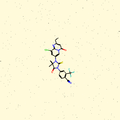 CCc1cc(=O)n2cc(N3C(=S)N(c4ccc(C#N)c(C(F)(F)F)c4)C(=O)C3(C)C)cc(Cl)c2n1